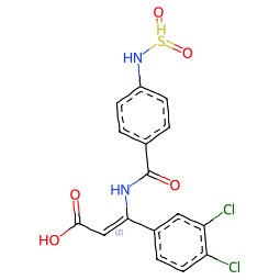 O=C(O)/C=C(\NC(=O)c1ccc(N[SH](=O)=O)cc1)c1ccc(Cl)c(Cl)c1